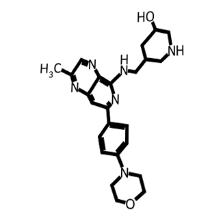 Cc1cnc2c(NCC3CNCC(O)C3)nc(-c3ccc(N4CCOCC4)cc3)cc2n1